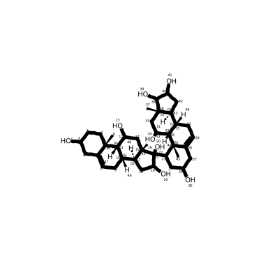 C[C@]12CCC(O)CC1=CC[C@@H]1[C@H]2C(O)C[C@@]2(C)[C@H]1CC(O)C2(O)C1CC(O)CC2=CC[C@@H]3[C@@H](C(O)C[C@]4(C)C(O)C(O)C[C@@H]34)[C@]21C